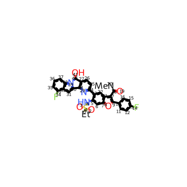 CCS(=O)(=O)Nc1cc2oc(-c3ccc(F)cc3)c(C(=O)NC)c2cc1-c1ccc2c(n1)-c1cc3c(F)cccc3n1C2O